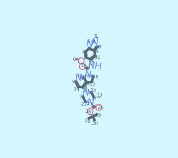 COc1cc2nn(C)cc2cc1NC(=O)N1CCc2c(N3CCN(C(=O)OC(C)(C)C)[C@@H](C)C3)ccnc21